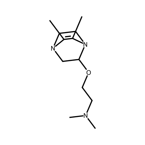 CC1=C(C)N2CCN1CC2OCCN(C)C